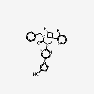 N#Cc1ccn(-c2cnc(N(C[C@]3(c4ncccc4F)C[C@H](F)C3)C(=O)OCc3ccccc3)nc2)c1